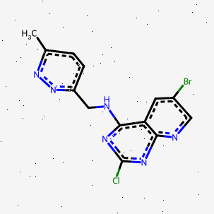 Cc1ccc(CNc2nc(Cl)nc3ncc(Br)cc23)nn1